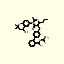 BC(=O)NC(=N)c1ccccc1-c1ccc(Cc2c(CCC)nc(C)n(-c3ccc4c(c3)C(O)CC(C)(C)O4)c2=O)cc1